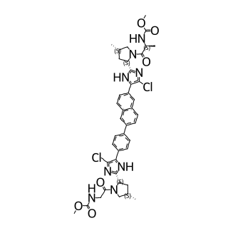 COC(=O)NCC(=O)N1C[C@@H](C)C[C@H]1c1nc(Cl)c(-c2ccc(-c3ccc4cc(-c5[nH]c([C@@H]6C[C@H](C)CN6C(=O)[C@H](C)NC(=O)OC)nc5Cl)ccc4c3)cc2)[nH]1